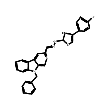 Brc1ccc(C2=CSC(NN=Cc3cc4c5ccccc5n(Cc5ccccc5)c4cn3)N2)cc1